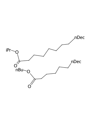 CCCCCCCCCCCCCCCC(=O)OCCCC.CCCCCCCCCCCCCCCCCC(=O)OC(C)C